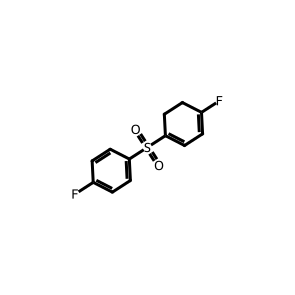 O=S(=O)(C1=CC=C(F)CC1)c1ccc(F)cc1